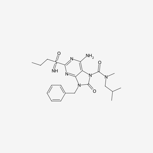 CCCS(=N)(=O)c1nc(N)c2c(n1)n(Cc1ccccc1)c(=O)n2C(=O)N(C)CC(C)C